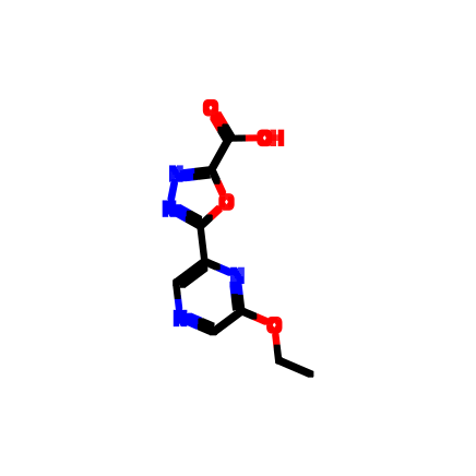 CCOc1cncc(-c2nnc(C(=O)O)o2)n1